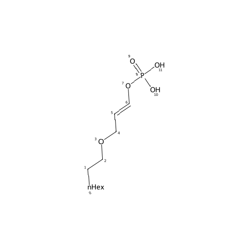 CCCCCCCCOCC=COP(=O)(O)O